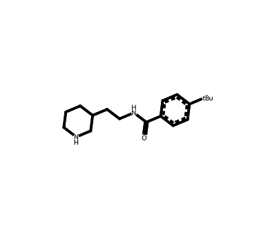 CC(C)(C)c1ccc(C(=O)NCCC2CCCNC2)cc1